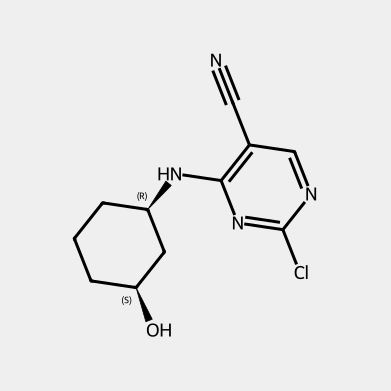 N#Cc1cnc(Cl)nc1N[C@@H]1CCC[C@H](O)C1